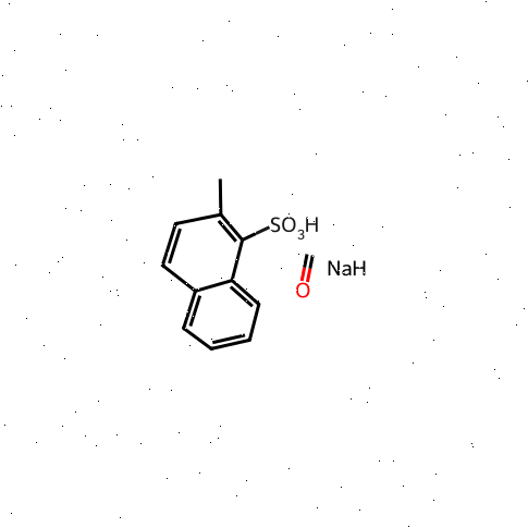 C=O.Cc1ccc2ccccc2c1S(=O)(=O)O.[NaH]